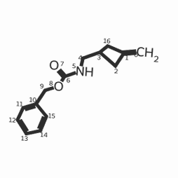 C=C1CC(CNC(=O)OCc2ccccc2)C1